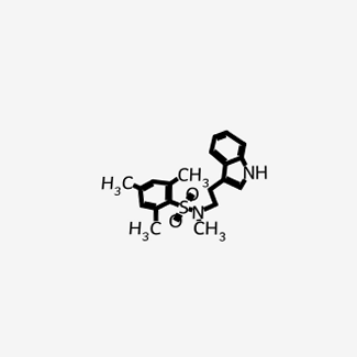 Cc1cc(C)c(S(=O)(=O)N(C)CCc2c[nH]c3ccccc23)c(C)c1